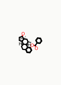 C[C@@H]1C[C@]2(C)C(=O)CC[C@H]2[C@H]2CCc3cccc(OC(=O)c4ccccc4)c3[C@H]21